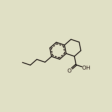 CCCCc1ccc2c(c1)C(C(=O)O)CCC2